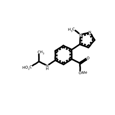 COC(=O)c1cc(NC(C)C(=O)O)ccc1-c1ccnn1C